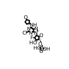 O=C1CC[C@H](Nc2nc(Cl)nc3c2ncn3[C@@H]2C(=O)[C@H](COCP(=O)(O)O)[C@@H](O)[C@H]2F)C1